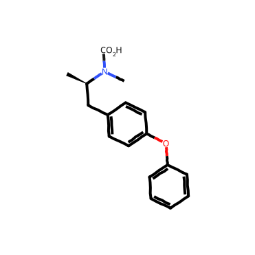 C[C@H](Cc1ccc(Oc2ccccc2)cc1)N(C)C(=O)O